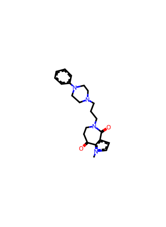 Cn1ccc2c1C(=O)CCN(CCCN1CCN(c3ccccc3)CC1)C2=O